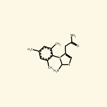 Cc1cc(C)c(N2C(CC(N)=O)=CSC2N)c(C)c1